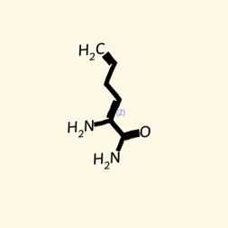 C=CC/C=C(\N)C(N)=O